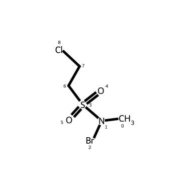 CN(Br)S(=O)(=O)CCCl